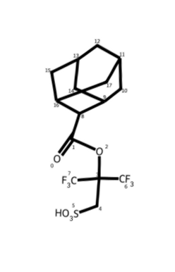 O=C(OC(CS(=O)(=O)O)(C(F)(F)F)C(F)(F)F)C1C2CC3CC(C2)CC1C3